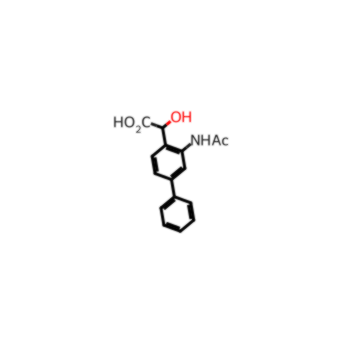 CC(=O)Nc1cc(-c2ccccc2)ccc1C(O)C(=O)O